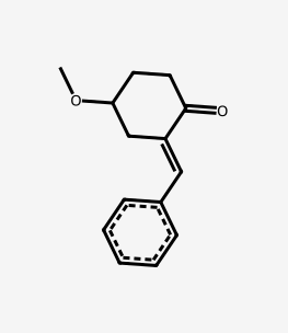 COC1CCC(=O)C(=Cc2ccccc2)C1